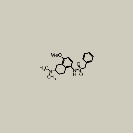 COc1ccc(NS(=O)(=O)Cc2ccccc2)c2c1C[C@@H](N(C)C)CC2